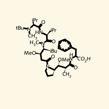 CC[C@H](C)[C@@H]([C@@H](CC(=O)N1CCC[C@H]1[C@H](OC)[C@@H](C)C(=O)NC(Cc1ccccc1)C(=O)O)OC)N(C)C(=O)[C@@H](NC(=O)[C@H](C(C)C)N(C)C(C)(C)C)C(C)C